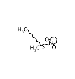 CCCCCCCCC(C)SCCN1C(=O)CCCCC1=O